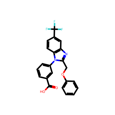 O=C(O)c1cccc(-n2c(COc3ccccc3)nc3cc(C(F)(F)F)ccc32)c1